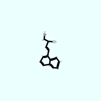 ClC(/C=C/c1cccc2ccccc12)CBr